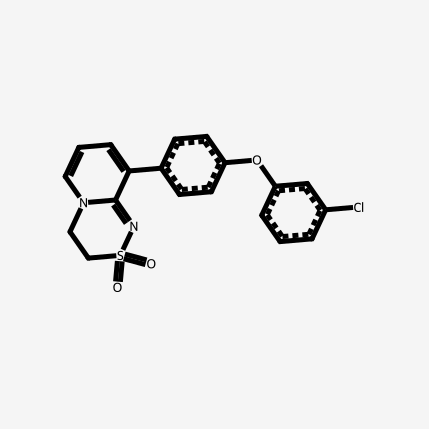 O=S1(=O)CCN2C=CC=C(c3ccc(Oc4cccc(Cl)c4)cc3)C2=N1